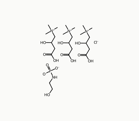 C[N+](C)(C)CC(O)CC(=O)O.C[N+](C)(C)CC(O)CC(=O)O.C[N+](C)(C)CC(O)CC(=O)O.O=P([O-])([O-])NCCO.[Cl-]